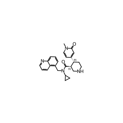 Cn1ccc([C@@H]2CCNC[C@H]2C(=O)N(Cc2cccc3ncccc23)C2CC2)cc1=O